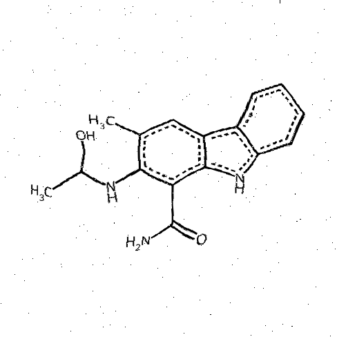 Cc1cc2c([nH]c3ccccc32)c(C(N)=O)c1NC(C)O